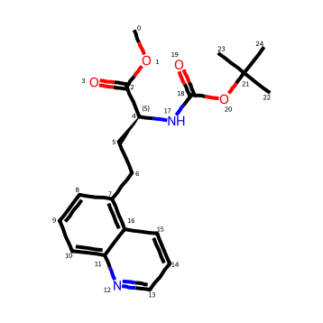 COC(=O)[C@H](CCc1cccc2ncccc12)NC(=O)OC(C)(C)C